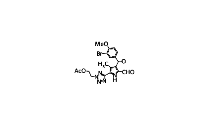 COc1ccc(C(=O)c2c(C=O)[nH]c(-c3nnn(CCOC(C)=O)n3)c2C)cc1Br